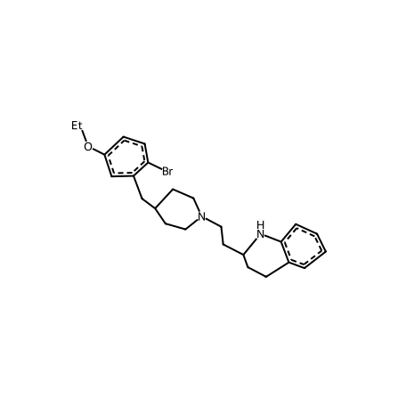 CCOc1ccc(Br)c(CC2CCN(CCC3CCc4ccccc4N3)CC2)c1